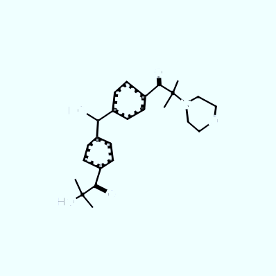 CC(C)(O)C(=O)c1ccc(C(O)c2ccc(C(=O)C(C)(C)N3CCOCC3)cc2)cc1